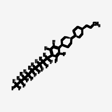 CCC[C@H]1CC[C@H]([C@H]2CC[C@H](c3c(F)c(F)c(C(F)(F)C(F)(F)C(F)(F)C(F)(F)C(F)(F)C(F)(F)C(F)(F)C(F)(F)C(F)(F)F)c(F)c3F)CC2)CC1